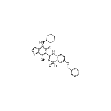 O=c1c(C2=NS(=O)(=O)c3cc(OCc4ccccc4)ccc3N2)c(O)c2sccc2n1NC1CCCCC1